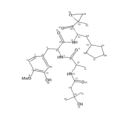 COc1ccc(CC(NC(=O)C(C)NC(=O)CC(C)(C)O)C(=O)NC(CC2CCCC2)C(=O)C2(C)CO2)cc1O